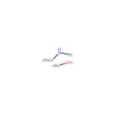 CCCCCNCC.CCCCO